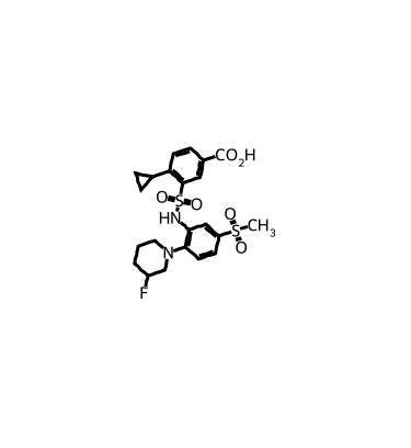 CS(=O)(=O)c1ccc(N2CCCC(F)C2)c(NS(=O)(=O)c2cc(C(=O)O)ccc2C2CC2)c1